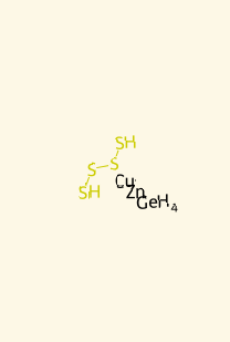 SSSS.[Cu].[GeH4].[Zn]